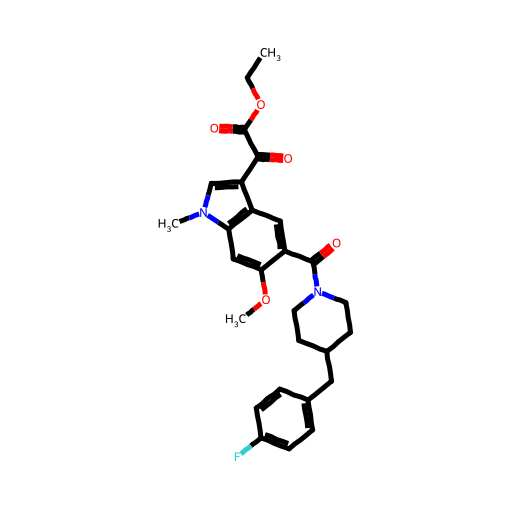 CCOC(=O)C(=O)c1cn(C)c2cc(OC)c(C(=O)N3CCC(Cc4ccc(F)cc4)CC3)cc12